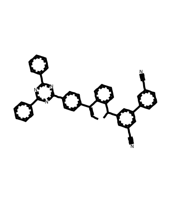 C/C=C(/c1ccc(-c2nc(-c3ccccc3)nc(-c3ccccc3)n2)cc1)c1ccccc1C(C)c1cc(C#N)cc(-c2cccc(C#N)c2)c1